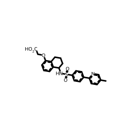 Cc1ccc(-c2ccc(S(=O)(=O)NC3CCCc4c(OCC(=O)O)cccc43)cc2)nc1